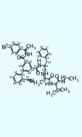 CCNC(=O)[C@@H](NC(=O)[C@H](C)NC[C@H](Cc1ccccc1)NC(=O)c1cc(C(=O)N[C@H](C)c2ccc(Br)cc2)cc(-c2ccccc2C#N)c1)C(C)C